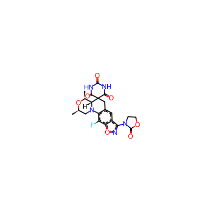 C[C@@H]1CN2c3c(cc4c(N5CCOC5=O)noc4c3F)CC3(C(=O)NC(=O)NC3=O)[C@H]2[C@H](C)O1